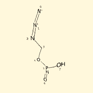 [N-]=[N+]=NCO[PH](=O)O